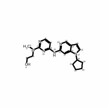 CN(CCO)c1nccc(Nc2cc3c(ccn3C3CCCC3)cn2)n1